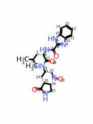 CC(C)C[C@H](NC(=O)c1nc2ccccc2[nH]1)C(=O)N[C@H](CN=O)C[C@@H]1CCNC1=O